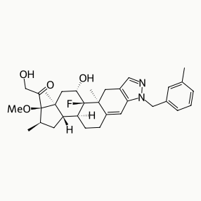 CO[C@]1(C(=O)CO)[C@H](C)C[C@H]2[C@@H]3CCC4=Cc5c(cnn5Cc5cccc(C)c5)C[C@]4(C)[C@@]3(F)[C@@H](O)C[C@@]21C